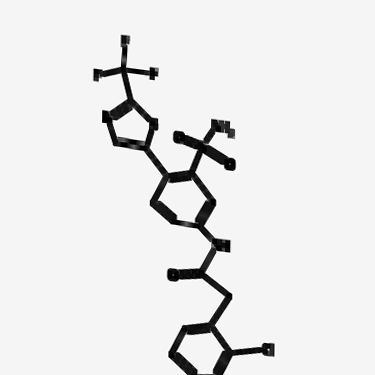 NS(=O)(=O)c1cc(NC(=O)Cc2ccccc2Cl)ccc1-c1cnc(C(F)(F)F)s1